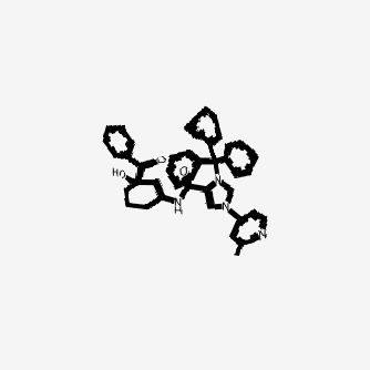 Cc1cc(N2C=C(C(=O)NC3CCCC(O)(C(=O)c4ccccc4)C3)N(C(c3ccccc3)(c3ccccc3)c3ccccc3)C2)ccn1